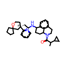 CC(C(=O)N1CCc2cccc3c2C1CCC3NCC[C@@]1(c2ccccn2)CCOC2(CCCC2)C1)C1CC1